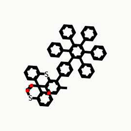 Cc1ccc2c(c1-c1ccc(-c3c(-c4ccccc4)c(-c4ccccc4)c(-c4ccccc4)c(-c4ccccc4)c3-c3ccccc3)cc1)Sc1ccccc1C21c2ccccc2Sc2ccccc21